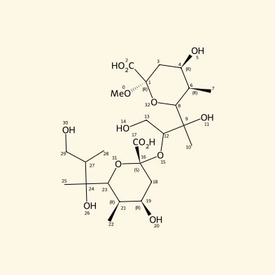 CO[C@]1(C(=O)O)C[C@@H](O)[C@@H](C)C(C(C)(O)C(CO)O[C@]2(C(=O)O)C[C@@H](O)[C@@H](C)C(C(C)(O)C(C)CO)O2)O1